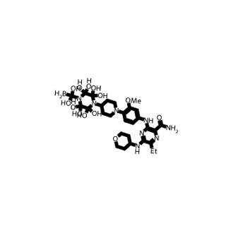 BC(O)(O)N1C(O)(O)C(O)(O)N(C2CCN(c3ccc(Nc4nc(NC5CCOCC5)c(CC)nc4C(N)=O)cc3OC)CC2)C(O)(O)C1(O)O